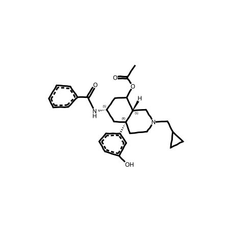 CC(=O)OC1C[C@@H](NC(=O)c2ccccc2)C[C@]2(c3cccc(O)c3)CCN(CC3CC3)C[C@@H]12